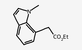 CCOC(=O)Cc1cccc2ccn(C)c12